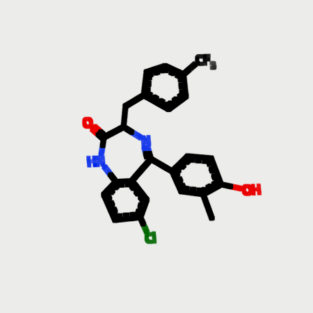 Cc1cc(C2=NC(Cc3ccc(C(F)(F)F)cc3)C(=O)Nc3ccc(Cl)cc32)ccc1O